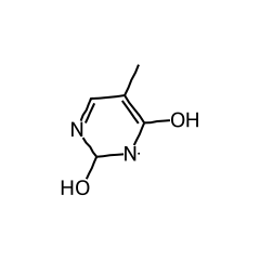 CC1=C(O)[N]C(O)N=C1